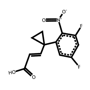 O=C(O)C=CC1(c2cc(F)cc(F)c2[N+](=O)[O-])CC1